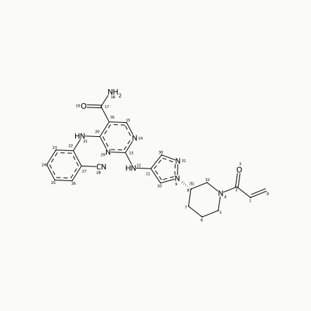 C=CC(=O)N1CCC[C@H](n2cc(Nc3ncc(C(N)=O)c(Nc4ccccc4C#N)n3)cn2)C1